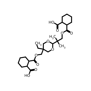 CCC1(COC(=O)C2CCCCC2C(=O)O)COC(C(C)(C)COC(=O)C2CCCCC2C(=O)O)OC1